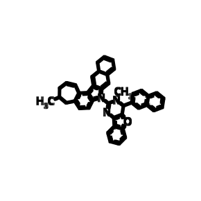 CC1CC=Cc2c(ccc3c2c2c(n3C3=Nc4c(oc5ccccc45)C(c4ccc5ccccc5c4)N3C)=CC3=CC=CCC3C=2)C1